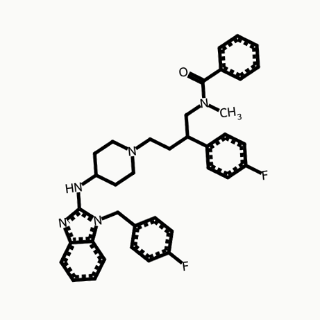 CN(CC(CCN1CCC(Nc2nc3ccccc3n2Cc2ccc(F)cc2)CC1)c1ccc(F)cc1)C(=O)c1ccccc1